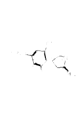 CC(=O)Nc1cc(F)c([C@@H]2CNC(=O)C2)c(F)c1